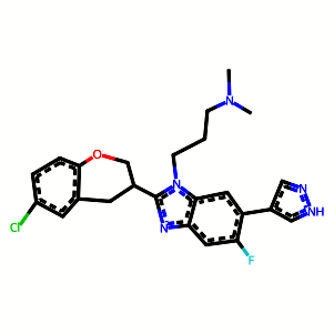 CN(C)CCCn1c(C2COc3ccc(Cl)cc3C2)nc2cc(F)c(-c3cn[nH]c3)cc21